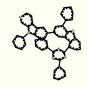 c1ccc(-c2nc(-c3ccccc3)nc(-c3cccc4oc5c(-c6ccccc6)cc(-c6ccc7c(c6)c6ccncc6n7-c6ccccc6)cc5c34)n2)cc1